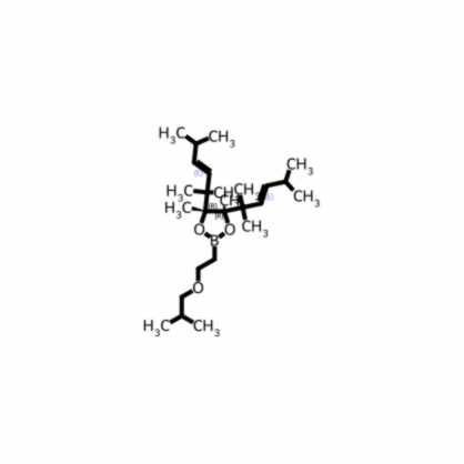 CC(C)/C=C/C(C)(C)[C@@]1(C)OB(CCOCC(C)C)O[C@]1(C)C(C)(C)/C=C/C(C)C